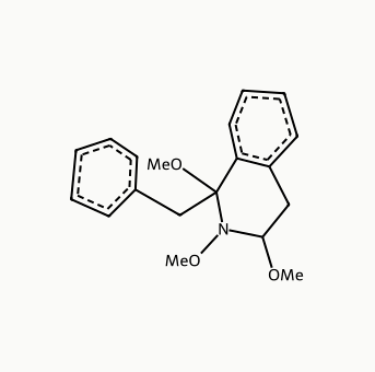 COC1Cc2ccccc2C(Cc2ccccc2)(OC)N1OC